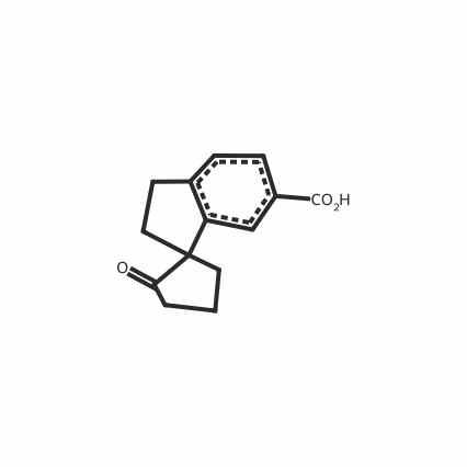 O=C(O)c1ccc2c(c1)C1(CCCC1=O)CC2